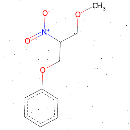 COCC(COc1ccccc1)[N+](=O)[O-]